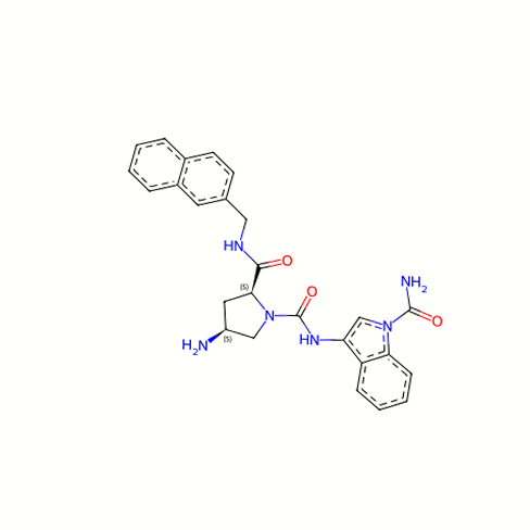 NC(=O)n1cc(NC(=O)N2C[C@@H](N)C[C@H]2C(=O)NCc2ccc3ccccc3c2)c2ccccc21